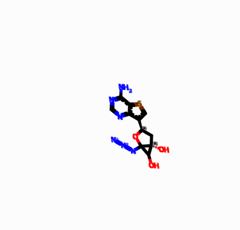 [N-]=[N+]=NC12O[C@@H](c3csc4c(N)ncnc34)C[C@@]1(O)C2O